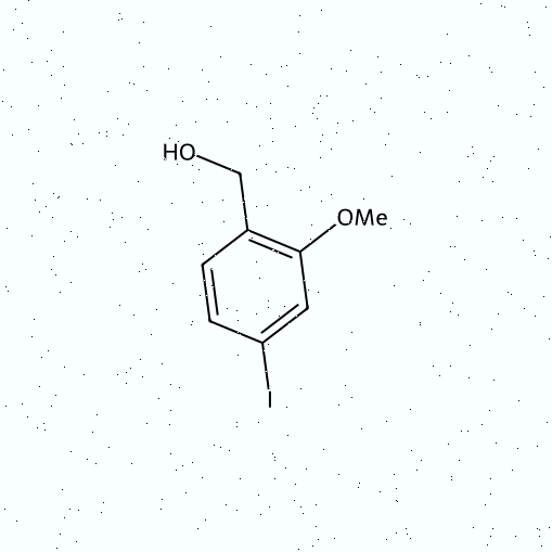 COc1cc(I)ccc1CO